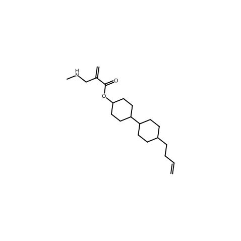 C=CCCC1CCC(C2CCC(OC(=O)C(=C)CNC)CC2)CC1